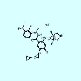 C[C@@H](NC(=O)c1cn([C@H]2C[C@@H]2C2CC2)c(=O)cc1N[C@@H]1[C@@H]2CNC[C@@H]21)c1cccc(C(F)F)c1F.Cl